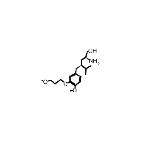 COCCCOc1cc(C[C@@H](C[C@H](N)CO)C(C)C)ccc1OC